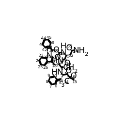 C=C(N[C@@H](Cc1ccccc1)C(=O)[C@@]1(C)CO1)[C@H](Cc1c[nH]c2ccccc12)NC(=O)[C@H](CC(N)=O)NC(=O)OCc1ccccc1